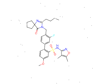 CCCCC1=NC2(CCCC2)C(=O)N1Cc1ccc(-c2ccc(OC)cc2S(=O)(=O)Nc2noc(C)c2C)cc1F